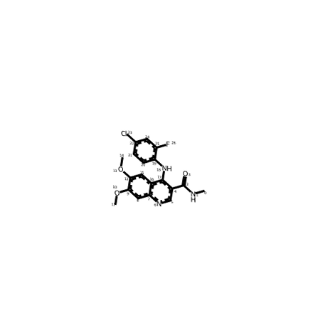 CNC(=O)c1cnc2cc(OC)c(OC)cc2c1Nc1ccc(Cl)cc1F